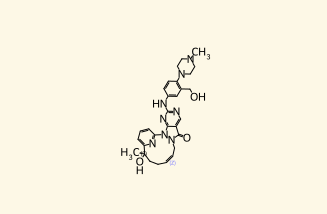 CN1CCN(c2ccc(Nc3ncc4c(=O)n5n(c4n3)-c3cccc(n3)[C@@](C)(O)CC/C=C\C5)cc2CO)CC1